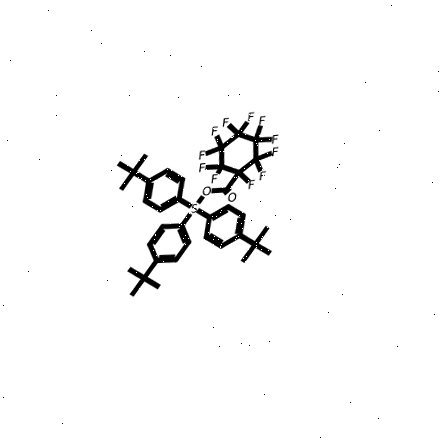 CC(C)(C)c1ccc(S(OC(=O)C2(F)C(F)(F)C(F)(F)C(F)(F)C(F)(F)C2(F)F)(c2ccc(C(C)(C)C)cc2)c2ccc(C(C)(C)C)cc2)cc1